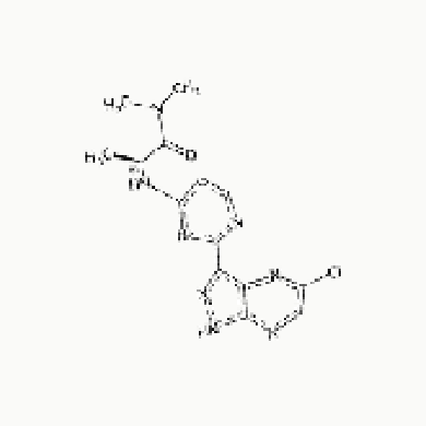 C[C@H](Nc1ccnc(-c2n[nH]c3ncc(Cl)nc23)n1)C(=O)N(C)C